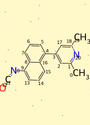 Cc1cc(-c2cccc3c(N=C=O)cccc23)cc(C)n1